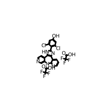 O=C(O)C(F)(F)F.O=C(O)C(F)(F)F.Oc1cc(Cl)c(-c2nc3c([nH]2)-c2ccncc2Nc2ncccc2-3)c(Cl)c1